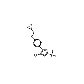 Cn1cc(C(F)(F)F)nc1-c1ccc(OCC2CO2)cc1